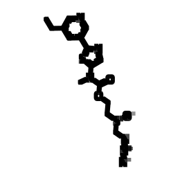 CCc1cncc(-c2ncc(N(C)C(=O)OCC[S+]([O-])CN=[N+]=[N-])s2)c1